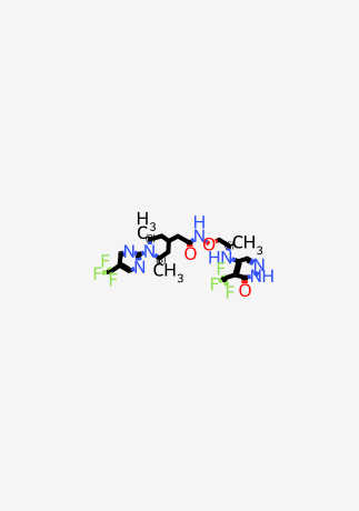 C[C@@H]1CC(CC(=O)NOC[C@H](C)Nc2cn[nH]c(=O)c2C(F)(F)F)C[C@H](C)N1c1ncc(C(F)(F)F)cn1